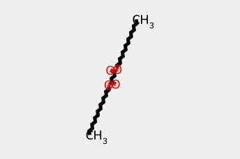 CCCCCCCCCCCCC/C=C/OC(=O)CCC(=O)O/C=C/CCCCCCCCCCCCC